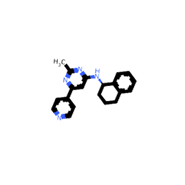 Cc1nc(N[C@@H]2CCCc3ccccc32)cc(-c2ccncc2)n1